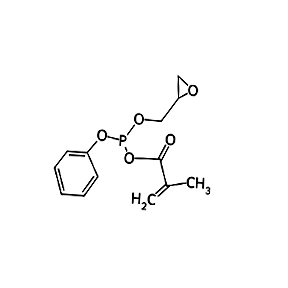 C=C(C)C(=O)OP(OCC1CO1)Oc1ccccc1